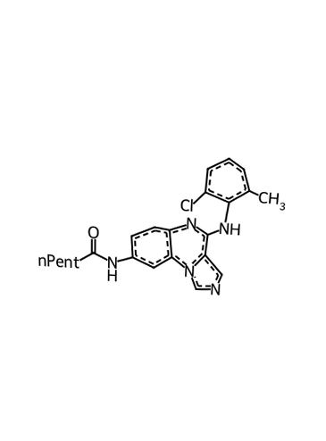 CCCCCC(=O)Nc1ccc2nc(Nc3c(C)cccc3Cl)c3cncn3c2c1